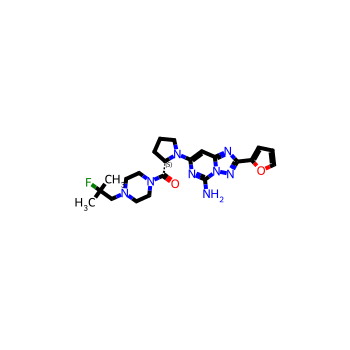 CC(C)(F)CN1CCN(C(=O)[C@@H]2CCCN2c2cc3nc(-c4ccco4)nn3c(N)n2)CC1